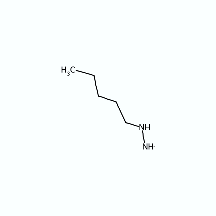 CCCCCN[NH]